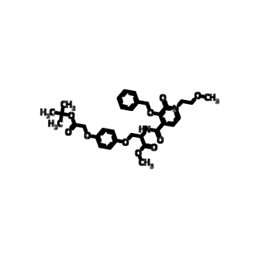 COCCn1ccc(C(=O)NC(COc2ccc(OCC(=O)OC(C)(C)C)cc2)C(=O)OC)c(OCc2ccccc2)c1=O